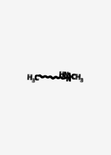 CCCCCCCCCCCC1=NC(C)CN1